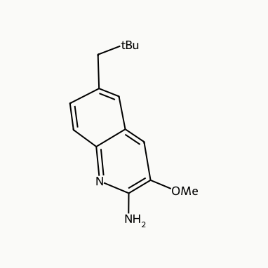 COc1cc2cc(CC(C)(C)C)ccc2nc1N